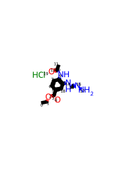 CCOC(=O)c1ccc(NC(C)=O)c(NC=NN)c1.Cl